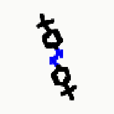 CC(C)(C)c1ccc(N=Nc2ccc(C(C)(C)C)cc2)cc1